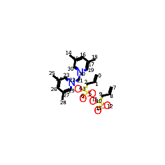 C=CCS(=O)(=O)[O-].C=CCS(=O)(=O)[O-].Cc1cc(C)c[n+](C[n+]2cc(C)cc(C)c2)c1